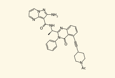 CC(=O)N1CCC(C#Cc2cccc3nc([C@@H](C)NC(=O)c4c(N)nn5cccnc45)n(-c4ccccc4)c(=O)c23)CC1